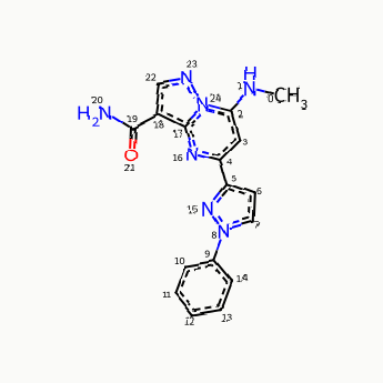 CNc1cc(-c2ccn(-c3ccccc3)n2)nc2c(C(N)=O)cnn12